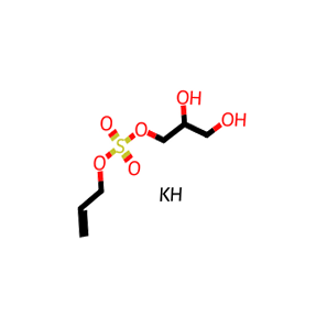 C=CCOS(=O)(=O)OCC(O)CO.[KH]